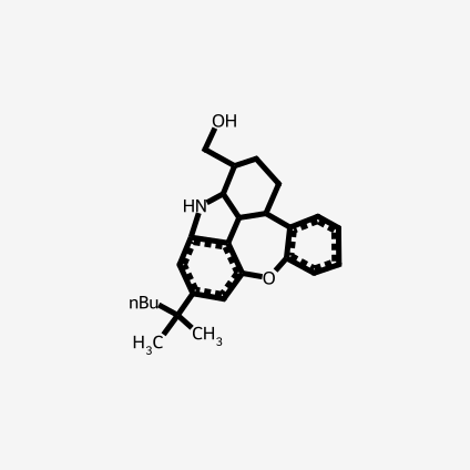 CCCCC(C)(C)c1cc2c3c(c1)Oc1ccccc1C1CCC(CO)C(N2)C31